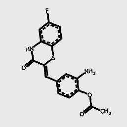 CC(=O)Oc1ccc(/C=C2\Sc3ccc(F)cc3NC2=O)cc1N